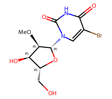 CO[C@@H]1[C@H](O)[C@@H](CO)O[C@H]1n1cc(Br)c(=O)[nH]c1=O